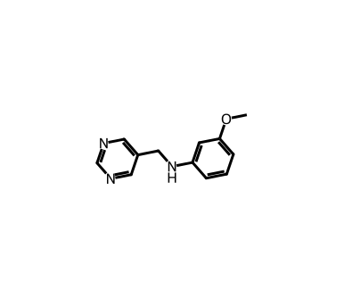 COc1cccc(NCc2cncnc2)c1